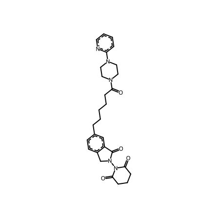 O=C(CCCCCc1ccc2c(c1)C(=O)N(N1C(=O)CCCC1=O)C2)N1CCN(c2ccccn2)CC1